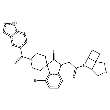 O=C(c1cnc2[nH]ncc2c1)N1CCC2(CC1)C(=O)N(CC(=O)N1C3CCC34COCC14)c1cccc(Br)c12